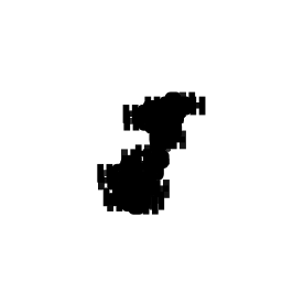 NC(CCC(=O)NCCO[C@H]1O[C@H](CO[C@H]2O[C@H](CO)[C@@H](O)[C@H](O)[C@@H]2O)[C@@H](O)[C@H](O[C@H]2O[C@H](CO)[C@@H](O)[C@H](O)[C@@H]2O)[C@@H]1O)C(=O)NCCCC(=O)N[C@@H](CCC(=O)NCCO[C@H]1O[C@H](CO)[C@@H](O)[C@H](O)[C@@H]1O)C(=O)NCCO[C@H]1O[C@H](CO)[C@@H](O)[C@H](O)[C@@H]1O